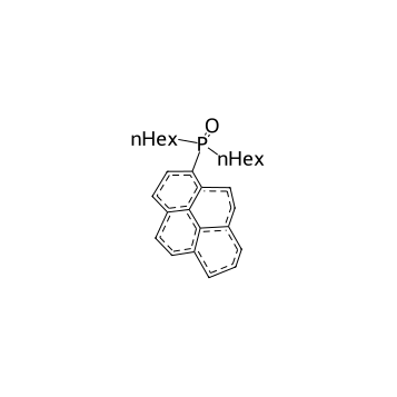 CCCCCCP(=O)(CCCCCC)c1ccc2ccc3cccc4ccc1c2c34